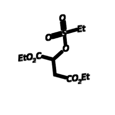 CCOC(=O)CC(OS(=O)(=O)CC)C(=O)OCC